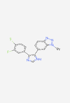 CC(C)n1nnc2ccc(-c3[nH]cnc3-c3ccc(F)c(F)c3)cc21